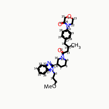 COCCCn1c([C@@H]2CCCN(C(=O)C[C@H](C)Cc3ccc(N4CCOCC4=O)cc3)C2)nc2ccccc21